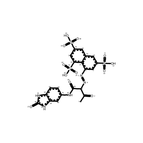 CC(=O)C(N=Nc1cc(S(=O)(=O)O)cc2cc(S(=O)(=O)O)cc(S(=O)(=O)O)c12)C(=O)Nc1ccc2[nH]c(=O)[nH]c2c1